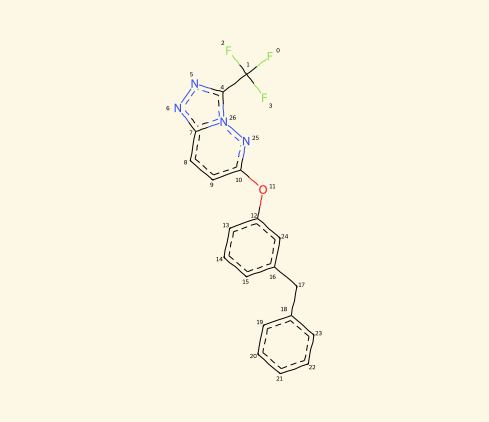 FC(F)(F)c1nnc2ccc(Oc3cccc(Cc4ccccc4)c3)nn12